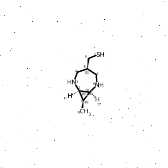 C[C@H]1[C@H]2NC[C@@H](CS)CN[C@@H]12